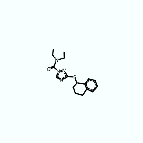 CCN(CC)C(=O)n1cnc(SC2CCCc3ccccc32)n1